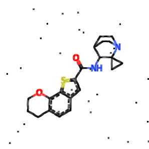 O=C(NC1C2CCN(CC2)C12CC2)c1cc2ccc3c(c2s1)OCCC3